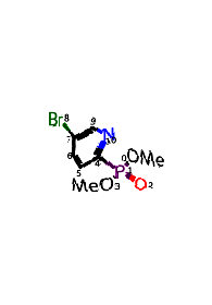 COP(=O)(OC)c1ccc(Br)cn1